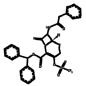 O=C(Cc1ccccc1)NC1C(=O)N2C(C(=O)OC(c3ccccc3)c3ccccc3)=C(OS(=O)(=O)C(F)(F)F)CS[C@H]12